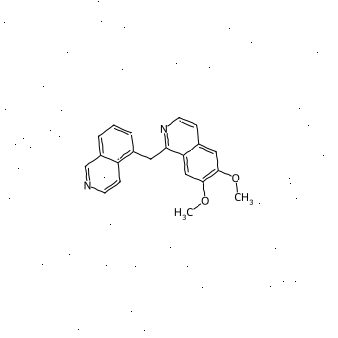 COc1cc2ccnc(Cc3cccc4cnccc34)c2cc1OC